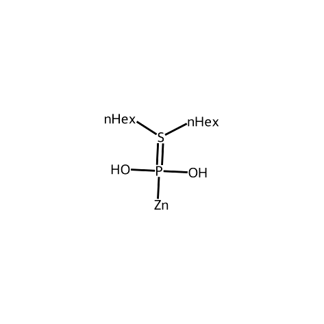 CCCCCCS(CCCCCC)=[P](O)(O)[Zn]